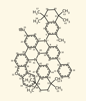 Cc1cc2c(cc1N1c3ccc(-c4ccccc4)cc3B3c4c(cc(C(C)(C)C)cc41)-c1ccc4oc5ccccc5c4c1N3c1ccc3c(c1)C(C)(C)CCC3(C)C)C(C)(C)CCC2(C)C